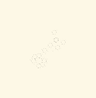 N#Cc1ccc(-c2ccccc2-c2nc(-c3ccccc3)nc(-c3ccc(-c4ccc(-c5cc6ccc7cccc8c9cccc%10ccc%11cccc(c(c5)c6c78)c%11c%109)cc4)cc3)n2)cc1